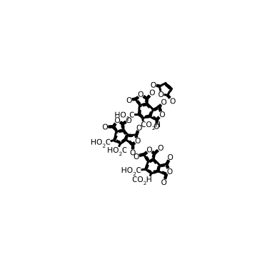 O=C(O)c1c(C(=O)O)c2c(=O)oc(=O)c2c2c(=O)oc(=O)c12.O=C(O)c1c(C(=O)O)c2c(=O)oc(=O)c2c2c(=O)oc(=O)c12.O=C(O)c1c(C(=O)O)c2c(=O)oc(=O)c2c2c(=O)oc(=O)c12.O=C1C=CC(=O)O1